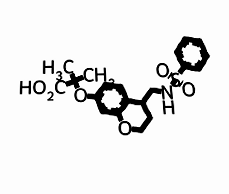 CC(C)(Oc1ccc2c(c1)OCCC2CNS(=O)(=O)c1ccccc1)C(=O)O